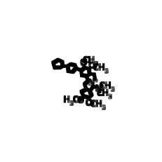 COc1cc2cc3[n+](c(N(C)C)c2cc1OC)CCc1c-3cc(-c2ccc(-c3ccccc3)cc2)c(OC)c1OC